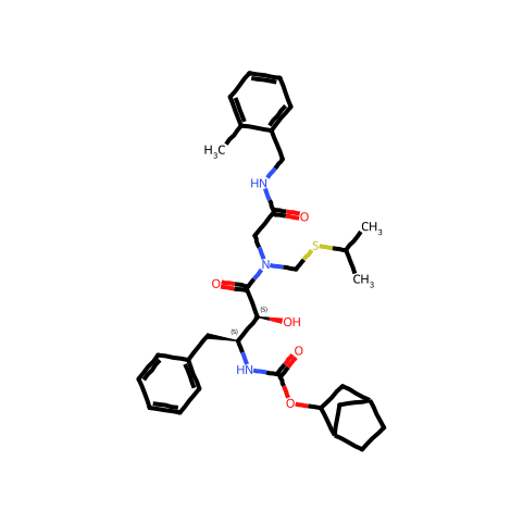 Cc1ccccc1CNC(=O)CN(CSC(C)C)C(=O)[C@@H](O)[C@H](Cc1ccccc1)NC(=O)OC1CC2CCC1C2